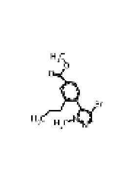 CCCc1cc(C(=O)OC)ccc1-c1c(Br)cnn1C